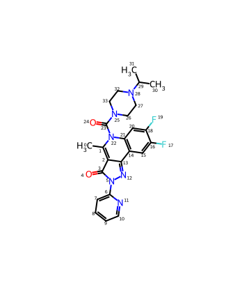 Cc1c2c(=O)n(-c3ccccn3)nc-2c2cc(F)c(F)cc2n1C(=O)N1CCN(C(C)C)CC1